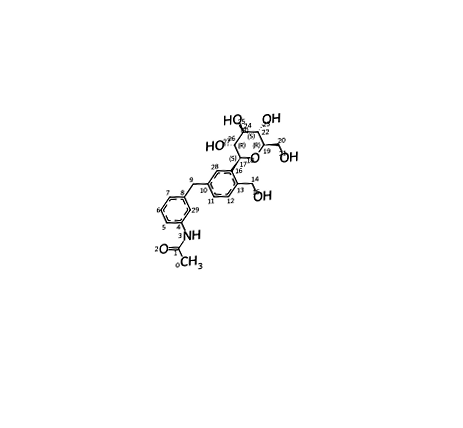 CC(=O)Nc1cccc(Cc2ccc(CO)c([C@@H]3O[C@H](CO)[C@@H](O)[C@H](O)[C@H]3O)c2)c1